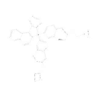 c1ccc2c(c1)-c1c(ccc3ccccc13)C2(c1ccc2cc(OCC3CO3)ccc2c1)c1ccc2cc(OC3CCO3)ccc2c1